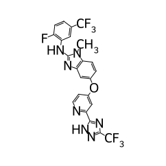 Cn1c(Nc2cc(C(F)(F)F)ccc2F)nc2cc(Oc3ccnc(-c4nc(C(F)(F)F)n[nH]4)c3)ccc21